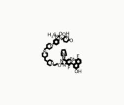 CCc1c(F)ccc2cc(O)cc(-c3ncc4c(N5CC6CCC(C5)N6)nc(OCCN5CCC(CC6CCN(CC7CCN(c8ccc9c(c8)n(C)c(=O)n9C8CCC(=O)NC8=O)CC7)CC6)CC5)nc4c3F)c12